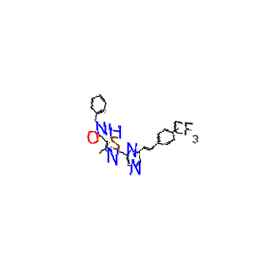 Cc1nc(-c2cncc(/C=C/c3ccc(C(F)(F)F)cc3)n2)sc1C(=O)NCc1ccccc1